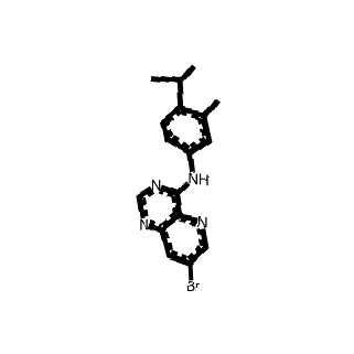 Cc1cc(Nc2ncnc3cc(Br)cnc23)ccc1C(C)C